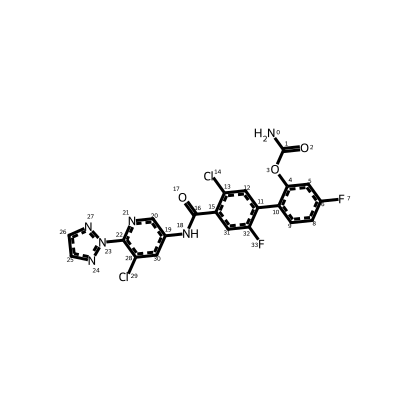 NC(=O)Oc1cc(F)ccc1-c1cc(Cl)c(C(=O)Nc2cnc(-n3nccn3)c(Cl)c2)cc1F